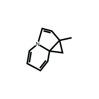 CC12C=CN3C=CC=CC31C2